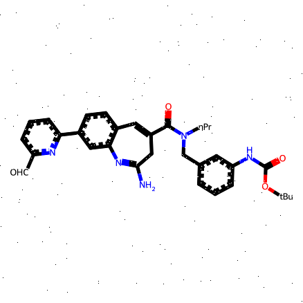 CCCN(Cc1cccc(NC(=O)OC(C)(C)C)c1)C(=O)C1=Cc2ccc(-c3cccc(C=O)n3)cc2N=C(N)C1